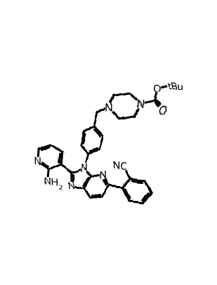 CC(C)(C)OC(=O)N1CCN(Cc2ccc(-n3c(-c4cccnc4N)nc4ccc(-c5ccccc5C#N)nc43)cc2)CC1